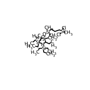 CCC(N([Si](CC)(CC)CC)[Si](CC)(CC)CC)[Si](C)(C)O[Si](C)(C)CCC[Si](C)(Cl)Cl